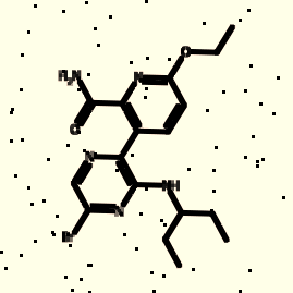 CCOc1ccc(-c2ncc(Br)nc2NC(CC)CC)c(C(N)=O)n1